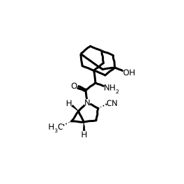 C[C@H]1[C@H]2C[C@@H](C#N)N(C(=O)C(N)C34CC5CC(CC(O)(C5)C3)C4)[C@@H]12